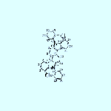 Clc1cccc2c3c4ccc5c(c4ccc3n(-c3ccccc3)c12)c1cccc(Cl)c1n5-c1ccccc1